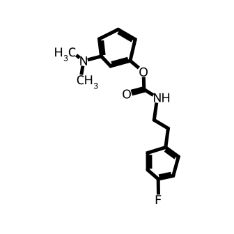 CN(C)c1cccc(OC(=O)NCCc2ccc(F)cc2)c1